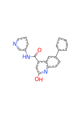 O=C(Nc1cccnc1)c1cc(O)nc2ccc(-c3ccccc3)cc12